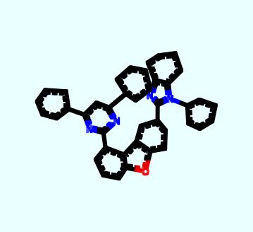 c1ccc(-c2cc(-c3ccccc3)nc(-c3cccc4oc5ccc(-c6nc7ccccc7n6-c6ccccc6)cc5c34)n2)cc1